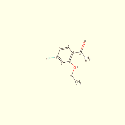 C[CH]Oc1cc(F)ccc1C(C)=O